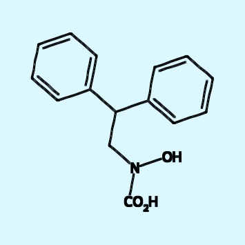 O=C(O)N(O)CC(c1ccccc1)c1ccccc1